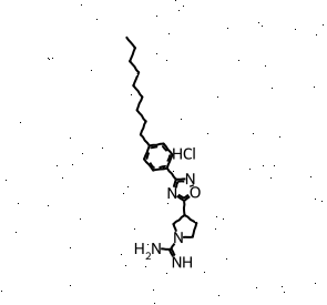 CCCCCCCCCc1ccc(-c2noc(C3CCN(C(=N)N)C3)n2)cc1.Cl